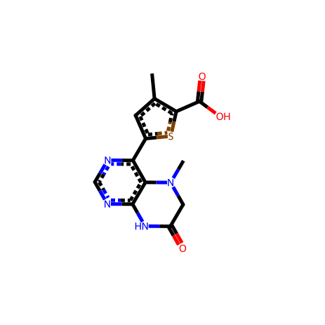 Cc1cc(-c2ncnc3c2N(C)CC(=O)N3)sc1C(=O)O